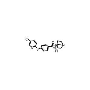 O=C(N[C@H]1CN2CCC1CC2)c1ccc(Sc2ccc(Cl)cn2)cc1